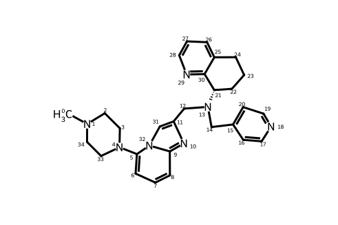 CN1CCN(c2cccc3nc(CN(Cc4ccncc4)[C@H]4CCCc5cccnc54)cn23)CC1